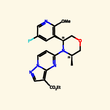 CCOC(=O)c1cnn2ccc(N3[C@H](C)COC[C@@H]3c3cc(F)cnc3OC)nc12